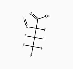 O=NC(F)(C(=O)O)C(F)(F)C(F)(F)F